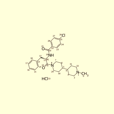 CN1CCC(C2CCN(C(=O)[C@@H](Cc3ccccc3)NC(=O)c3ccc(Cl)cc3)CC2)CC1.Cl